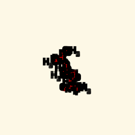 C[C@@H](CC(F)(F)F)Nc1ncc2c(-c3cnn(CCS(C)(=O)=O)c3)cc([C@H]3CC[C@H](OO[C@H]4CC[C@H](c5cc(-c6cnn([C@H]7COCC7O[C@H]7CC[C@H](c8cc(-c9cnn([C@H]%10CCOC%10)c9)c9cnc(N[C@@H](C)CC(F)(F)F)nn98)CC7)c6)c6cnc(N[C@@H](C)CC(F)(F)F)nn65)CC4)CC3)n2n1